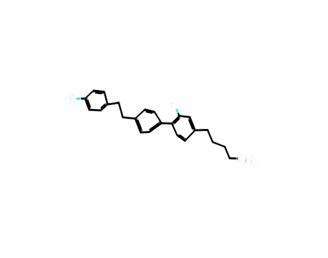 CCCCCc1ccc(-c2ccc(CCc3ccc(F)cc3)cc2)c(F)c1